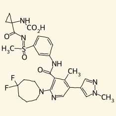 Cc1c(-c2cnn(C)c2)cnc(N2CCCC(F)(F)CC2)c1C(=O)Nc1cccc(S(C)(=O)=NC(=O)C2(NC(=O)O)CC2)c1